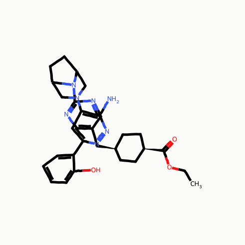 CCOC(=O)[C@H]1CC[C@@H](Cc2cnc(N3C4CCC3CN(c3cc(-c5ccccc5O)nnc3N)C4)nc2)CC1